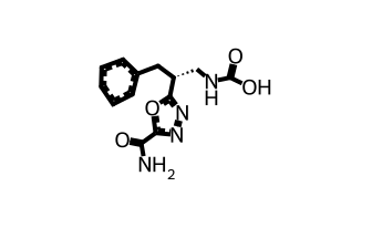 NC(=O)c1nnc([C@@H](CNC(=O)O)Cc2ccccc2)o1